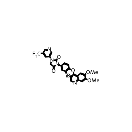 CCC(C)c1cc(N2C(=O)CN(c3cncc(C(F)(F)F)c3)C2=O)ccc1Oc1ccnc2cc(OC)c(OC)cc12